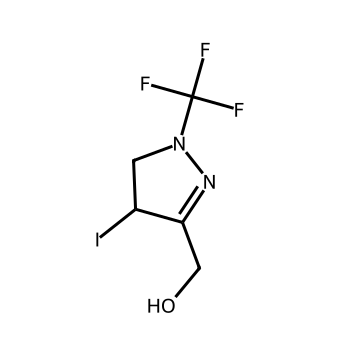 OCC1=NN(C(F)(F)F)CC1I